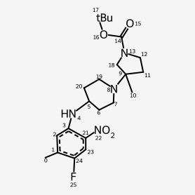 Cc1cc(NC2CCN(C3(C)CCN(C(=O)OC(C)(C)C)C3)CC2)c([N+](=O)[O-])cc1F